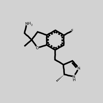 C[C@H]1NN=CC1Cc1cc(F)cc2c1OC(C)(CN)C2